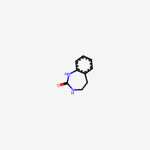 O=C1NCCc2c[c]ccc2N1